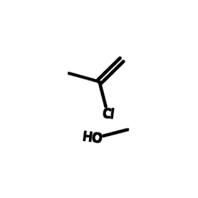 C=C(C)Cl.CO